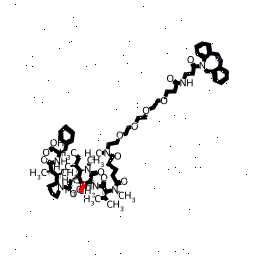 CC[C@H](C)[C@@H]([C@@H](CC(=O)N1CCCC1[C@H](C)[C@@H](C)C(=O)N[C@H](Cc1ccccc1)C(=O)O)OC)N(C)C(=O)[C@@H](NC(=O)[C@H](C(C)C)N(C)C(=O)CCCC(=O)N(C)CCOCCOCCOCCOCCC(=O)NCCC(=O)N1Cc2ccccc2/C=C\c2ccccc21)C(C)C